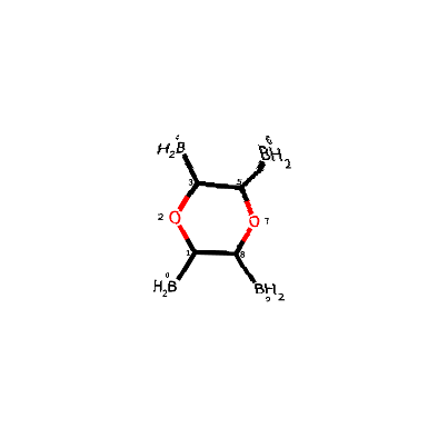 BC1OC(B)C(B)OC1B